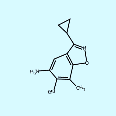 Cc1c(C(C)(C)C)c(N)cc2c(C3CC3)noc12